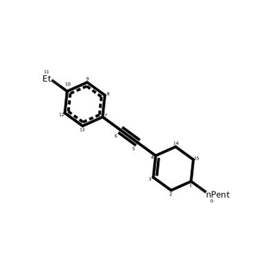 CCCCCC1CC=C(C#Cc2ccc(CC)cc2)CC1